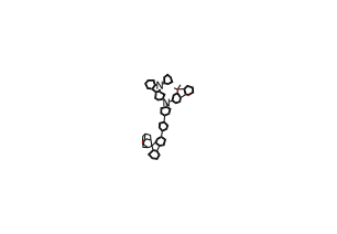 CC1(C)c2ccccc2-c2ccc(N(c3ccc(-c4ccc(-c5ccc6c(c5)C5(c7ccccc7-6)C6CC7CC(C6)CC5C7)cc4)cc3)c3ccc4c5ccccc5n(-c5ccccc5)c4c3)cc21